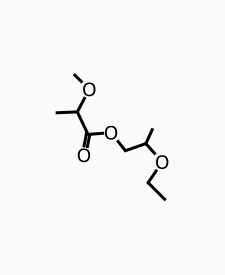 CCOC(C)COC(=O)C(C)OC